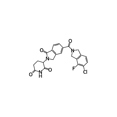 O=C1CCC(N2Cc3cc(C(=O)N4Cc5ccc(Cl)c(F)c5C4)ccc3C2=O)C(=O)N1